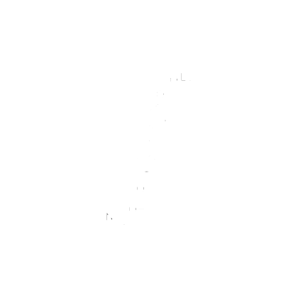 CCOCOc1ccc(C(C)(C)c2ccc(OCC(O)CN)cc2)cc1